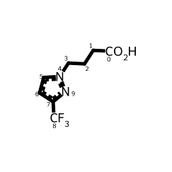 O=C(O)CCCn1ccc(C(F)(F)F)n1